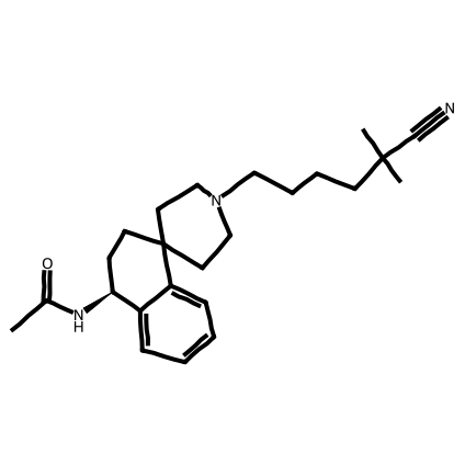 CC(=O)N[C@H]1CCC2(CCN(CCCCC(C)(C)C#N)CC2)c2ccccc21